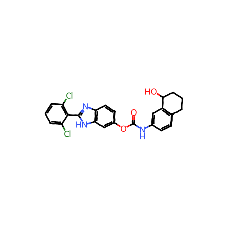 O=C(Nc1ccc2c(c1)C(O)CCC2)Oc1ccc2nc(-c3c(Cl)cccc3Cl)[nH]c2c1